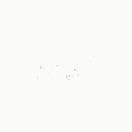 Cc1c(Br)cc2c(C(C(=O)Nc3ccc4ccccc4c3)P(=O)(O)O)coc2c1Br